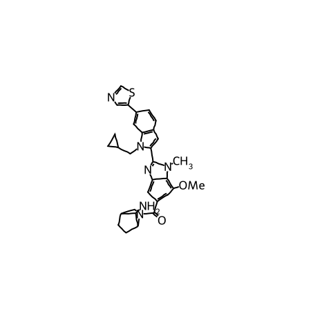 COc1cc(C(=O)N2CC3CCC2C3N)cc2nc(-c3cc4ccc(-c5cncs5)cc4n3CC3CC3)n(C)c12